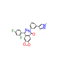 Cn1cc(-c2cccc(-n3nc(-c4ccc(F)cc4F)c4cc5c(cc4c3=O)OCO5)c2)cn1